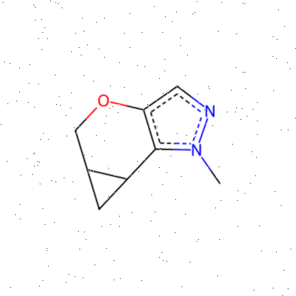 Cn1ncc2c1C1CC1CO2